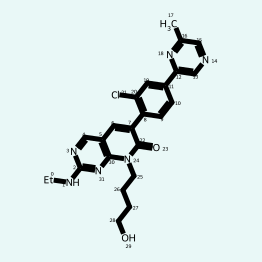 CCNc1ncc2cc(-c3ccc(-c4cncc(C)n4)cc3Cl)c(=O)n(CCCCO)c2n1